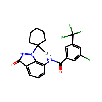 CC1(n2[nH]c(=O)c3cccc(NC(=O)c4cc(F)cc(C(F)(F)F)c4)c32)CCCCC1